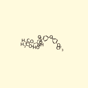 CC1(C)OC[C@H]([C@@H](CS(=O)(=O)c2ccc(Oc3ccc(OC(F)(F)F)cc3)cc2)NO)O1